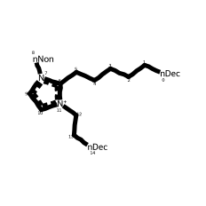 CCCCCCCCCCCCCCCc1n(CCCCCCCCC)cc[n+]1CCCCCCCCCCCC